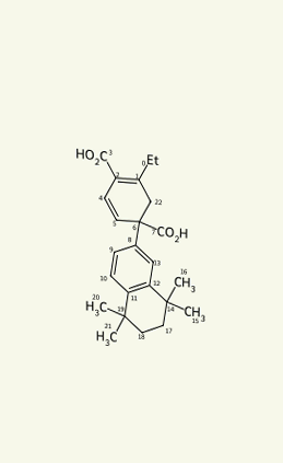 CCC1=C(C(=O)O)C=CC(C(=O)O)(c2ccc3c(c2)C(C)(C)CCC3(C)C)C1